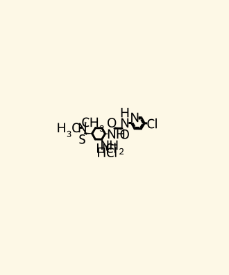 CN(C)C(=S)[C@H]1CC[C@H](NC(=O)C(=O)Nc2ccc(Cl)cn2)[C@H](N)C1.Cl.Cl